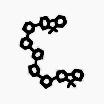 CC1(C)c2ccccc2-c2ccc(-c3cccc(-c4cccc(-c5cc(-c6cccc(-c7cccc(-c8ccc9c(c8)C(C)(C)c8ccccc8-9)c7)c6)ncn5)c4)c3)cc21